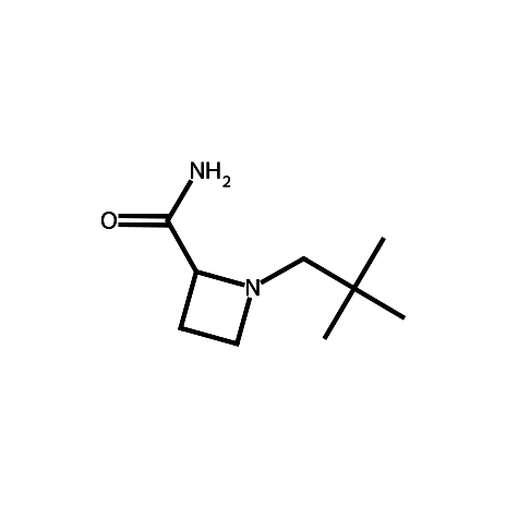 CC(C)(C)CN1CCC1C(N)=O